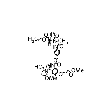 C=CCOC(=O)NC(C(=O)N[C@@H](C)C(=O)Nc1ccc(COC(=O)Nc2cc(OCCCC(=O)OC)c(OC)cc2C(=O)N2CCCC[C@H]2CO)cc1)C(C)C